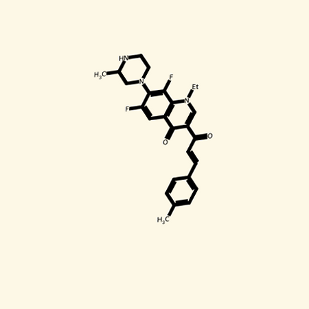 CCn1cc(C(=O)/C=C/c2ccc(C)cc2)c(=O)c2cc(F)c(N3CCNC(C)C3)c(F)c21